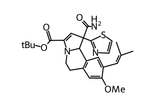 COc1cc2c(cc1C=C(C)C)C1N(CC2)C(C(=O)OC(C)(C)C)=CC1(C(N)=O)c1nccs1